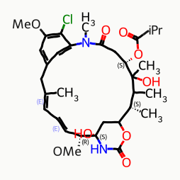 COc1cc2cc(c1Cl)N(C)C(=O)C[C@H](OC(=O)C(C)C)C(C)(O)C(C)[C@H](C)C1C[C@@](O)(NC(=O)O1)[C@H](OC)/C=C/C=C(\C)C2